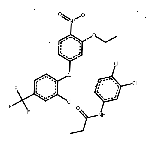 CCC(=O)Nc1ccc(Cl)c(Cl)c1.CCOc1cc(Oc2ccc(C(F)(F)F)cc2Cl)ccc1[N+](=O)[O-]